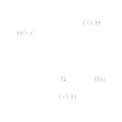 CC(C)(C)C1C(CC(=O)O)C(CC(=O)O)CN1C(=O)O